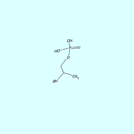 CCC(C)C(C)COP(=O)(O)O